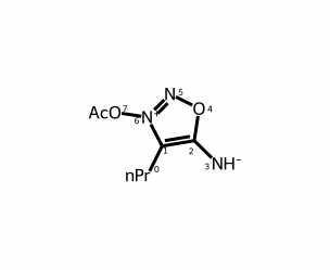 CCCc1c([NH-])on[n+]1OC(C)=O